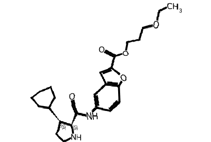 CCOCCCOC(=O)c1cc2cc(NC(=O)[C@H]3NCC[C@H]3C3CCCCC3)ccc2o1